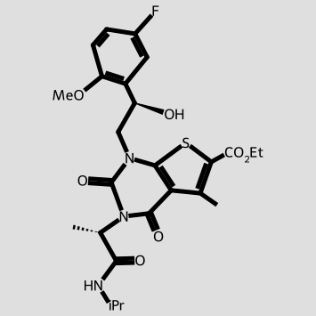 CCOC(=O)c1sc2c(c1C)c(=O)n([C@@H](C)C(=O)NC(C)C)c(=O)n2C[C@H](O)c1cc(F)ccc1OC